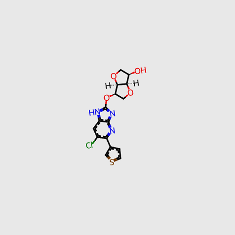 O[C@@H]1CO[C@H]2[C@@H]1OC[C@H]2Oc1nc2nc(-c3ccsc3)c(Cl)cc2[nH]1